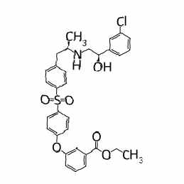 CCOC(=O)c1cccc(Oc2ccc(S(=O)(=O)c3ccc(C[C@@H](C)NC[C@H](O)c4cccc(Cl)c4)cc3)cc2)c1